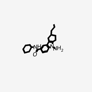 CCCC1CCc2c(c3cc(C(=O)NC4CCCCC4)ccc3n2N)C1